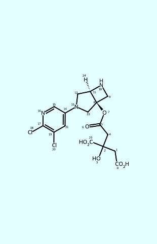 O=C(O)CC(O)(CC(=O)O[C@]12CN[C@@H]1CN(c1cnc(Cl)c(Cl)c1)C2)C(=O)O